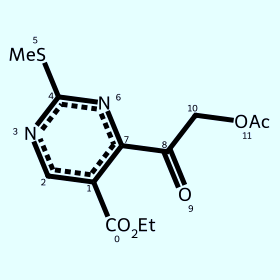 CCOC(=O)c1cnc(SC)nc1C(=O)COC(C)=O